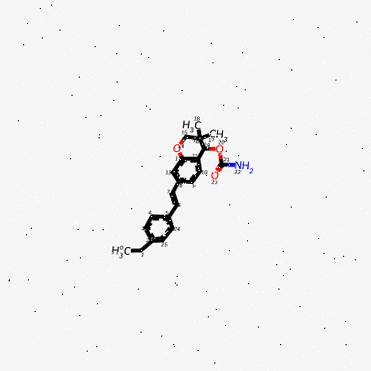 CCc1ccc(/C=C/c2ccc3c(c2)OCC(C)(C)C3OC(N)=O)cc1